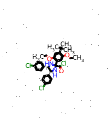 CCOc1cc(C2(C(=O)Cl)N[C@H](c3ccc(Cl)cc3)[C@H](c3ccc(Cl)cc3)N2)c(OCC)cc1C(C)(C)C